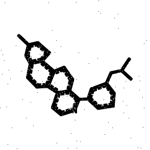 Cc1ccc2c(ccc3c4ccnc(-c5cccc(CC(C)C)c5)c4ccc23)c1